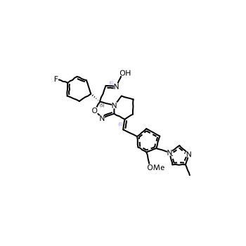 COc1cc(/C=C2\CCCN3C2=NO[C@]3(/C=N/O)C2C=CC(F)=CC2)ccc1-n1cnc(C)c1